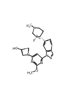 COc1nc(N2CC(O)C2)cc(-n2ncc3ccc([C@H]4CCN(C)C[C@H]4F)cc32)n1